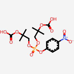 CC(C)(COP(=O)(OCC(C)(C)OC(=O)O)Oc1ccc([N+](=O)[O-])cc1)OC(=O)O